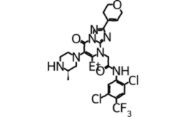 CCc1c(N2CCN[C@H](C)C2)c(=O)n2nc(C3=CCOCC3)nc2n1CC(=O)Nc1cc(Cl)c(C(F)(F)F)cc1Cl